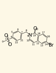 CS(=O)(=O)c1ccc(Cn2ccc3cc(Br)ccc3c2=O)cc1